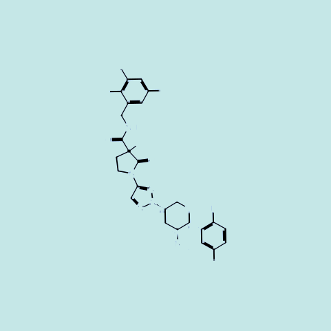 N[C@H]1C[C@@H](n2ncc(N3CCC(O)(C(=O)NCc4cc(Cl)cc(Cl)c4F)C3=O)n2)CO[C@@H]1c1cc(F)ccc1F